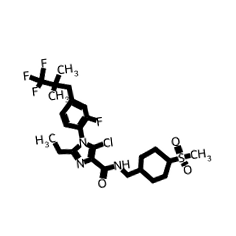 CCc1nc(C(=O)NCC2CCC(S(C)(=O)=O)CC2)c(Cl)n1-c1ccc(CC(C)(C)C(F)(F)F)cc1F